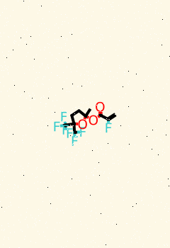 C=C(F)C(=O)OC1(C)CCC(C(F)(F)F)(C(F)(F)F)O1